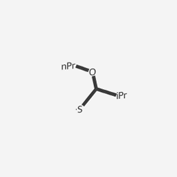 CCCOC([S])C(C)C